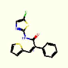 O=C(Nc1ncc(Cl)s1)/C(=C\c1cccs1)c1ccccc1